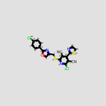 N#Cc1c(Cl)nc(SCc2coc(-c3ccc(Cl)cc3)n2)c(C#N)c1-c1nccs1